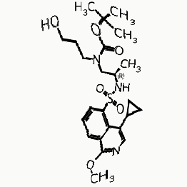 COc1ncc(C2CC2)c2c(S(=O)(=O)N[C@H](C)CN(CCCO)C(=O)OC(C)(C)C)cccc12